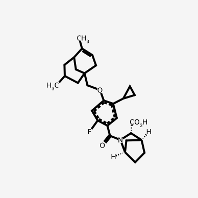 CC1=CCC2(COc3cc(F)c(C(=O)N4[C@@H]5CC[C@@H](C5)[C@H]4C(=O)O)cc3C3CC3)CC(C)CC1C2